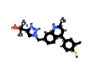 CC[C@](O)(c1cn(Cc2ccc3c(-c4ccc(F)c(C)c4)cc(C#N)nc3c2)nn1)C(F)(F)F